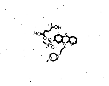 CN1CCN(CCCN2c3ccccc3Sc3ccc(S(=O)(=O)N(C)C)cc32)CC1.O=C(O)/C=C/C(=O)O